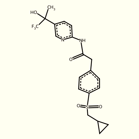 CC(O)(c1ccc(NC(=O)Cc2ccc(S(=O)(=O)CC3CC3)cc2)nc1)C(F)(F)F